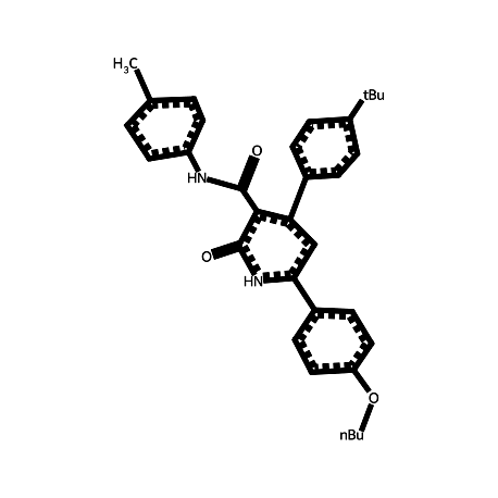 CCCCOc1ccc(-c2cc(-c3ccc(C(C)(C)C)cc3)c(C(=O)Nc3ccc(C)cc3)c(=O)[nH]2)cc1